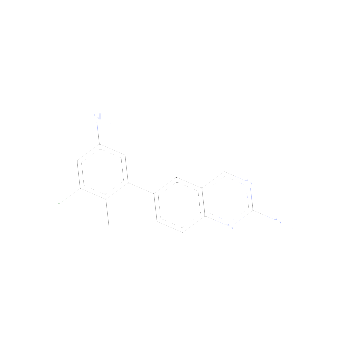 Cc1c(Cl)cc(N)cc1-c1ccc2nc(N)ncc2c1